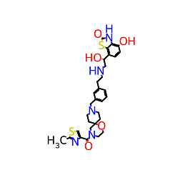 Cc1nc(C(=O)N2CCOC3(CCN(Cc4cccc(CCNC[C@H](O)c5ccc(O)c6[nH]c(=O)sc56)c4)CC3)C2)cs1